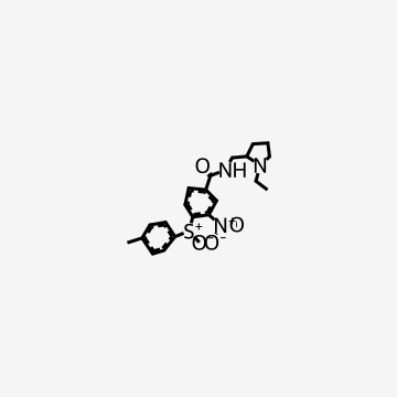 CCN1CCCC1CNC(=O)c1ccc([S+]([O-])c2ccc(C)cc2)c([N+](=O)[O-])c1